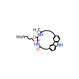 CNCCCC[C@H]1NC(=O)CCc2ccc3[nH]c4ccc(cc4c3c2)CCCC[C@@H](C)NC1=O